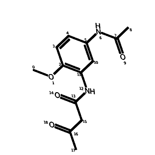 COc1ccc(NC(C)=O)cc1NC(=O)CC(C)=O